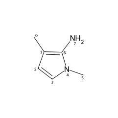 Cc1ccn(C)c1N